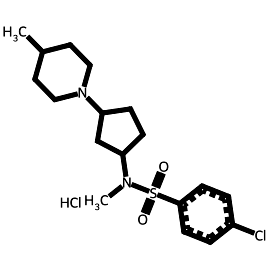 CC1CCN(C2CCC(N(C)S(=O)(=O)c3ccc(Cl)cc3)C2)CC1.Cl